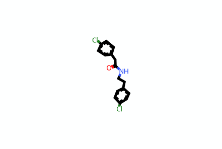 O=C(Cc1ccc(Cl)cc1)NCCc1ccc(Cl)cc1